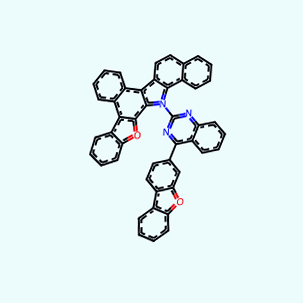 c1ccc2c(c1)ccc1c3c4ccccc4c4c5ccccc5oc4c3n(-c3nc(-c4ccc5c(c4)oc4ccccc45)c4ccccc4n3)c21